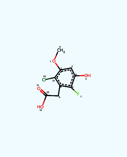 COc1cc(O)c(F)c(CC(=O)O)c1Cl